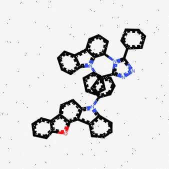 c1ccc(-c2nnc(-c3ccccc3)n2-c2cccc3c4ccccc4n(-c4cccc(-n5c6ccccc6c6c7oc8ccccc8c7ccc65)c4)c23)cc1